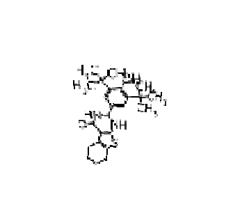 CC(C)(C)c1cc(C2NC(=O)c3c(sc4c3CCCC4)N2)cc(C(C)(C)C)c1O